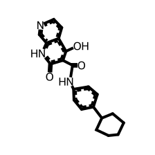 O=C(Nc1ccc(C2CCCCC2)cc1)c1c(O)c2ccncc2[nH]c1=O